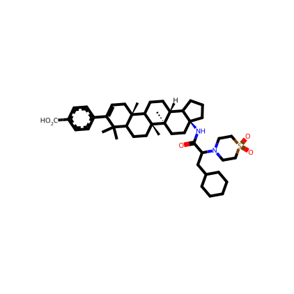 CC1(C)C(c2ccc(C(=O)O)cc2)=CC[C@@]2(C)C1CC[C@]1(C)C2CC[C@@H]2C3CCC[C@]3(NC(=O)C(CC3CCCCC3)N3CCS(=O)(=O)CC3)CC[C@]21C